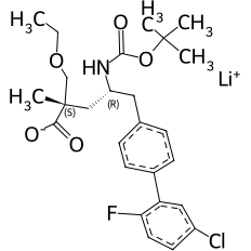 CCOC[C@](C)(C[C@@H](Cc1ccc(-c2cc(Cl)ccc2F)cc1)NC(=O)OC(C)(C)C)C(=O)[O-].[Li+]